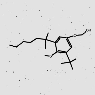 CCCCCC(C)(C)c1cc(CCO)cc(C(C)(C)C)c1OC